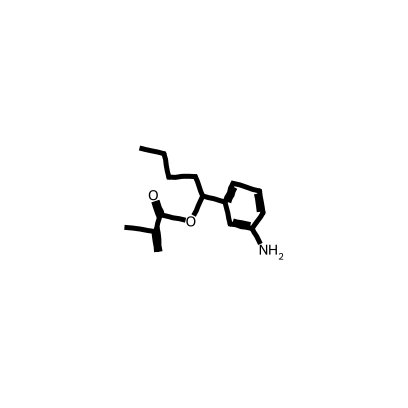 C=C(C)C(=O)OC(CCCC)c1cccc(N)c1